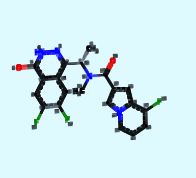 C[C@@H](c1n[nH]c(=O)c2cc(F)c(F)cc12)N(C)C(=O)c1cc2c(F)cccn2c1